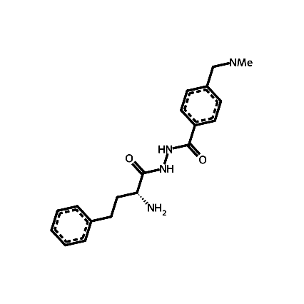 CNCc1ccc(C(=O)NNC(=O)[C@H](N)CCc2ccccc2)cc1